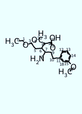 CCOC(=O)CC(C(N)CCc1cccc(OC)c1)C(C)C(=O)O